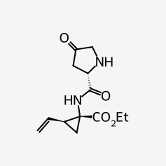 C=C[C@@H]1C[C@]1(NC(=O)[C@@H]1CC(=O)CN1)C(=O)OCC